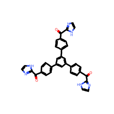 O=C(c1ccc(-c2cc(-c3ccc(C(=O)c4ncc[nH]4)cc3)cc(-c3ccc(C(=O)c4ncc[nH]4)cc3)c2)cc1)c1ncc[nH]1